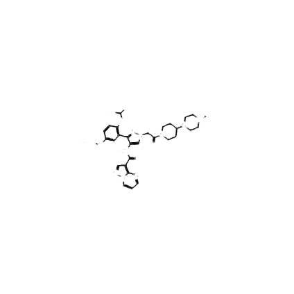 CSc1ccc(OC(F)F)c(-c2nn(CC(=O)N3CCC(N4CC[S+]([O-])CC4)CC3)cc2NC(=O)c2cnn3cccnc23)c1